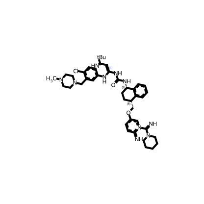 CN1CCN(Cc2cc(N/C(=C\C(=N)C(C)(C)C)NC(=O)N[C@H]3CC[C@@H](COc4ccc(=N)n(C(=N)N5CCCCC5)c4)c4ccccc43)ccc2Cl)CC1